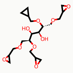 O[C@@H]([C@H](O)[C@@H](COCC1CO1)OCC1CC1)[C@H](COCC1CO1)OCC1CO1